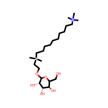 C[N+](C)(C)CCCCCCCCCC[Si](C)(C)CCOC1OC(CO)[C@@H](O)[C@H](O)[C@@H]1O